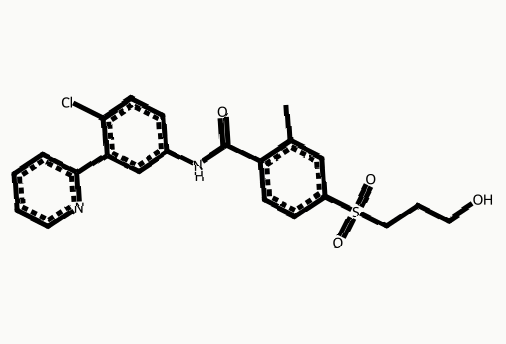 Cc1cc(S(=O)(=O)CCCO)ccc1C(=O)Nc1ccc(Cl)c(-c2ccccn2)c1